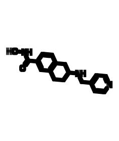 O=C(NO)c1ccc2c(c1)CCC(NCc1ccncc1)C2